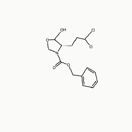 O=C(OCc1ccccc1)N1COC(O)[C@@H]1CCC(Cl)Cl